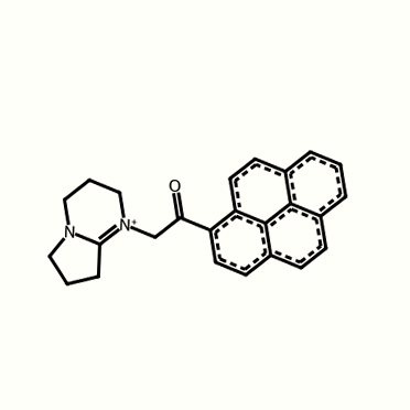 O=C(C[N+]1=C2CCCN2CCC1)c1ccc2ccc3cccc4ccc1c2c34